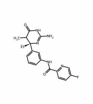 CC[C@]1(c2cccc(NC(=O)c3ccc(F)cn3)c2)N=C(N)NC(=O)C1C